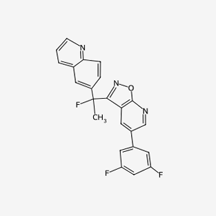 CC(F)(c1ccc2ncccc2c1)c1noc2ncc(-c3cc(F)cc(F)c3)cc12